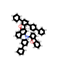 c1ccc(-c2ccc(-c3ccc(-c4ccccc4)c4oc5c6ccccc6c(N(c6ccc(-c7ccccc7)cc6)c6cccc7c6oc6ccccc67)cc5c34)cc2)cc1